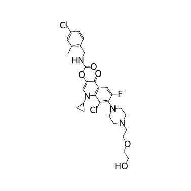 Cc1cc(Cl)ccc1CNC(=O)Oc1cn(C2CC2)c2c(Cl)c(N3CCN(CCOCCO)CC3)c(F)cc2c1=O